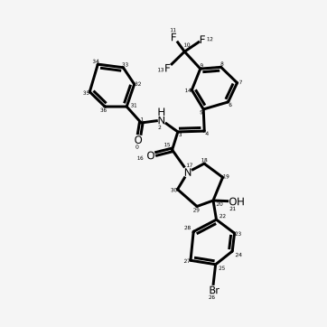 O=C(NC(=Cc1cccc(C(F)(F)F)c1)C(=O)N1CCC(O)(c2ccc(Br)cc2)CC1)c1ccccc1